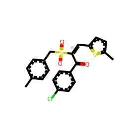 Cc1ccc(CS(=O)(=O)/C(=C/c2ccc(C)s2)C(=O)c2ccc(Cl)cc2)cc1